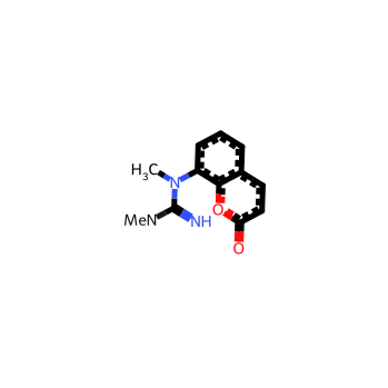 CNC(=N)N(C)c1cccc2ccc(=O)oc12